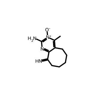 Cc1c2c(nc(N)[n+]1[O-])C(=N)CCCCC2